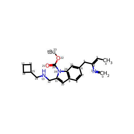 C=N/C(=C\C)Cc1ccc2cc(CNCC3CCC3)n(C(=O)OC(C)(C)C)c2c1